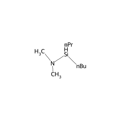 CCCC[SiH](CCC)N(C)C